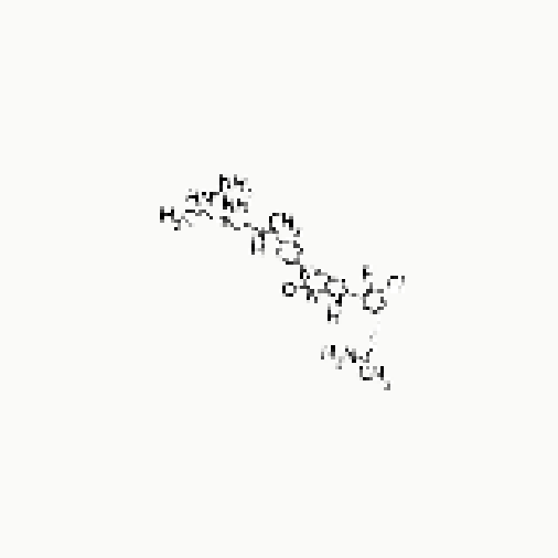 C=CC[C@@H](CCN[C@@H](C)c1ccc(-n2cc3cc(-c4cc(CCC[C@H](C)N)cc(Cl)c4F)[nH]c3nc2=O)cc1)NC(=N)N